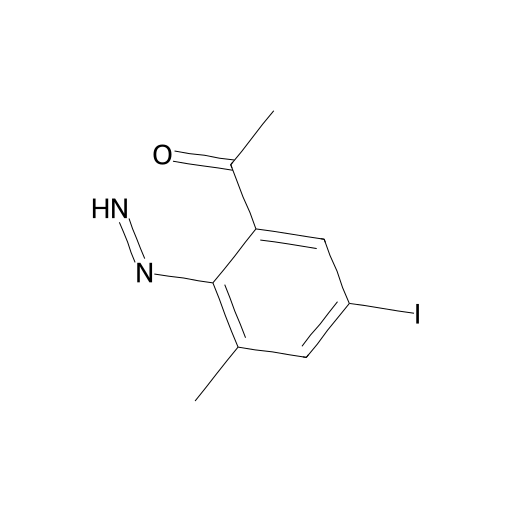 CC(=O)c1cc(I)cc(C)c1N=N